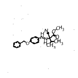 COC(=O)C(C#N)(NNc1ccc(OCc2ccccc2)cc1)C(C)C